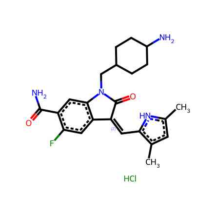 Cc1cc(C)c(/C=C2\C(=O)N(CC3CCC(N)CC3)c3cc(C(N)=O)c(F)cc32)[nH]1.Cl